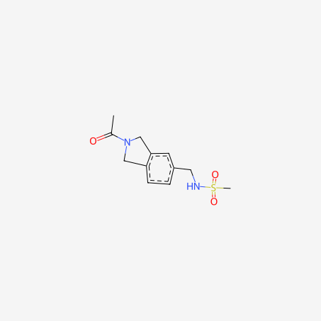 CC(=O)N1Cc2ccc(CNS(C)(=O)=O)cc2C1